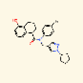 CC(C)c1ccc(N(Cc2cnn(C3CCCC3)c2)C(=O)C2CCCc3c(O)cccc32)cc1